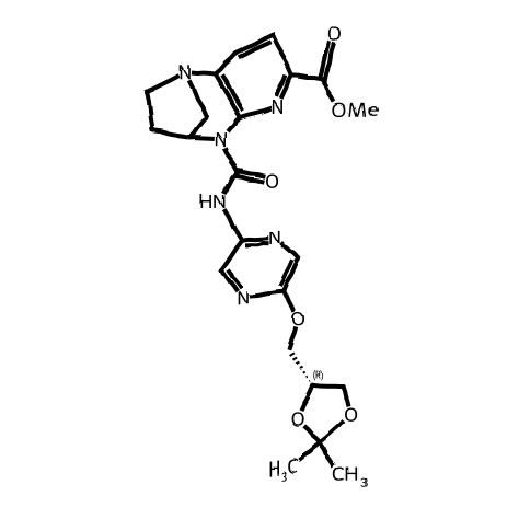 COC(=O)c1ccc2c(n1)N(C(=O)Nc1cnc(OC[C@@H]3COC(C)(C)O3)cn1)C1CCN2C1